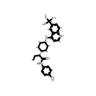 CCC(C(=O)Nc1ccc(Cl)cc1)[C@H]1CC[C@@H](Oc2ccnc3ccc(C(F)(F)F)cc23)CC1